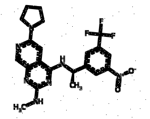 CNc1nc(N[C@H](C)c2cc([N+](=O)[O-])cc(C(F)(F)F)c2)c2cc(N3CCCC3)ncc2n1